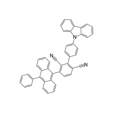 N#Cc1ccc(-c2c3ccccc3c(-c3ccccc3)c3ccccc23)c(C#N)c1-c1ccc(-n2c3ccccc3c3ccccc32)cc1